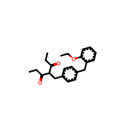 CCOc1ccccc1Cc1ccc(CC(C(=O)CC)C(=O)CC)cc1